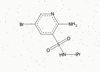 CC(C)NS(=O)(=O)c1cc(Br)cnc1N